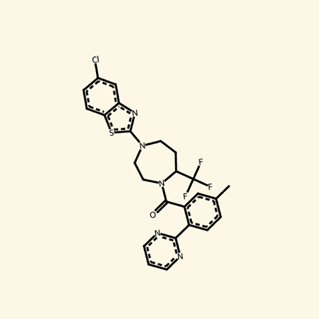 Cc1ccc(-c2ncccn2)c(C(=O)N2CCN(c3nc4cc(Cl)ccc4s3)CCC2C(F)(F)F)c1